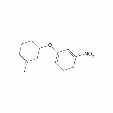 CN1CCCC(OC2=CC[CH]C([N+](=O)[O-])=C2)C1